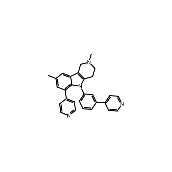 Cc1cc(-c2ccncc2)c2c(c1)c1c(n2-c2cccc(-c3ccncc3)c2)CCN(C)C1